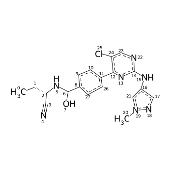 CC[C@@H](C#N)NC(O)c1ccc(-c2nc(Nc3cnn(C)c3)ncc2Cl)cc1